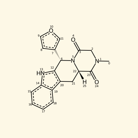 CN1CC(=O)N2[C@@H](c3ccoc3)c3[nH]c4ccccc4c3C[C@H]2C1=O